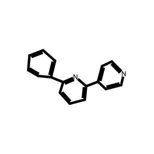 c1ccc(-c2cccc(-c3ccncc3)n2)cc1